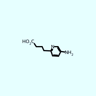 Nc1ccc(CCCC(=O)O)nc1